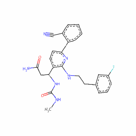 CNC(=O)NC(CC(N)=O)c1ccc(-c2ccccc2C#N)nc1NCCc1cccc(F)c1